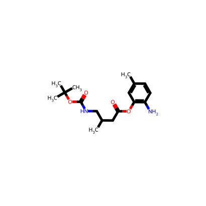 Cc1ccc(N)c(OC(=O)CC(C)CNC(=O)OC(C)(C)C)c1